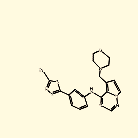 CC(C)c1nnc(-c2cccc(Nc3ncnn4ccc(CN5CCOCC5)c34)c2)s1